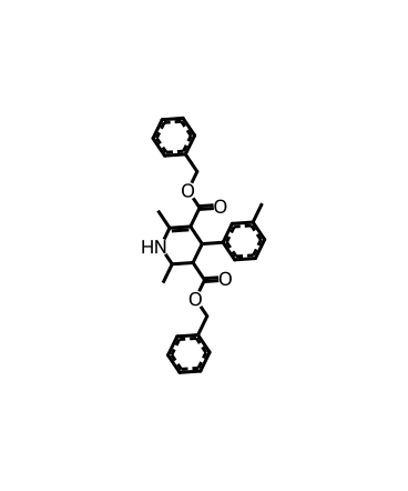 CC1=C(C(=O)OCc2ccccc2)C(c2cccc(C)c2)C(C(=O)OCc2ccccc2)C(C)N1